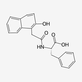 O=C(Cc1c(O)ccc2ccccc12)N[C@@H](Cc1ccccc1)C(=O)O